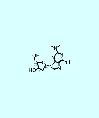 CN(C)c1nc(Cl)c2ncn([C@H]3C[C@@H](O)[C@H](CO)O3)c2n1